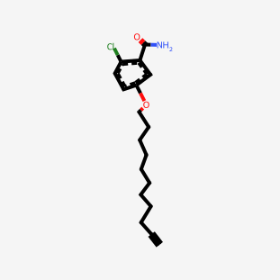 C#CCCCCCCCCCOc1ccc(Cl)c(C(N)=O)c1